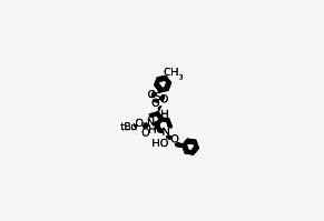 Cc1ccc(S(=O)(=O)OC[C@@H]2CN(C(=O)OC(C)(C)C)[C@@H]3CN(C(O)OCc4ccccc4)CC[C@H]23)cc1